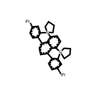 CC(C)c1ccc2c(c1)[Si]1(CCCC1)c1ccc3c4c(ccc-2c14)-c1ccc(C(C)C)cc1[Si]31CCCC1